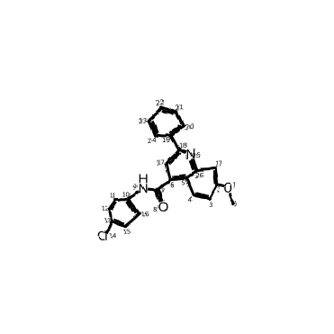 COc1ccc2c(C(=O)Nc3ccc(Cl)cc3)cc(-c3ccccc3)nc2c1